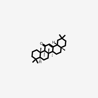 CC1(C)CC[C@]2(C)CC[C@]3(C)C(=CC(=O)[C@@]4(I)[C@@]3(C)CC[C@H]3C(C)(C)CCC[C@@]34C)[C@@H]2C1